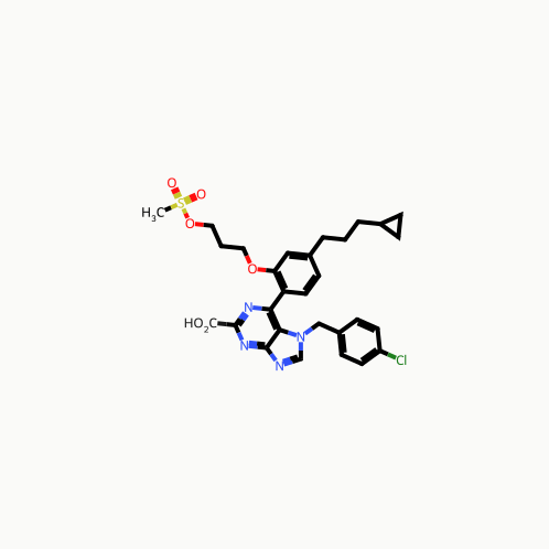 CS(=O)(=O)OCCCOc1cc(CCCC2CC2)ccc1-c1nc(C(=O)O)nc2ncn(Cc3ccc(Cl)cc3)c12